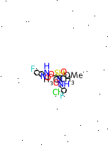 COC(=O)CC[C@](C)(C(S)COC(=O)Nc1cc2cc(F)ccc2cn1)N(C)C(=O)NCc1cccc(F)c1Cl